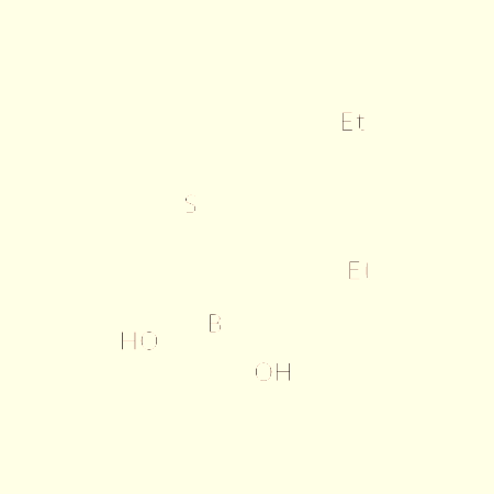 CCc1csc(B(O)O)c1CC